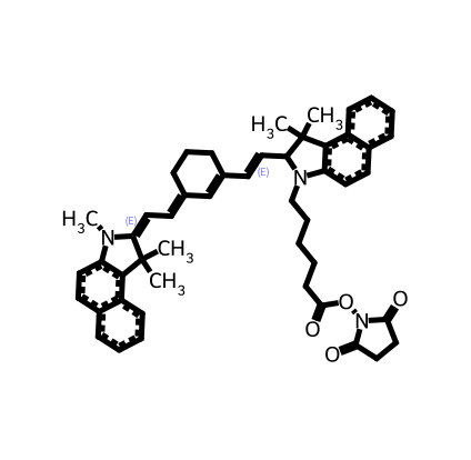 CN1/C(=C/C=C2C=C(/C=C/C3N(CCCCCC(=O)ON4C(=O)CCC4=O)c4ccc5ccccc5c4C3(C)C)CCC2)C(C)(C)c2c1ccc1ccccc21